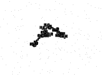 Cc1nc(CCCNC(=O)N2CCC(O)(C(O)C(=O)O)CC2)ccc1CCC(C)CC(=O)N[C@@H](C(=O)O)C1(O)CCN(C(=O)CCCCc2ccc3c(n2)NCCC3)CC1